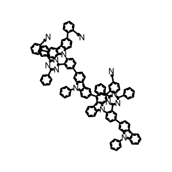 N#Cc1cccc(-c2cc(-c3ccc4c(c3)c3ccc(-c5ccc(-n6c7ccc(-c8ccccc8C#N)cc7c7cc(-c8ccccc8C#N)ccc76)c(-c6nc(-c7ccccc7)nc(-c7ccccc7)n6)c5)cc3n4-c3ccccc3)c3c4ccccc4n(-c4ccc(-c5ccc6c7ccccc7n(-c7ccccc7)c6c5)cc4-c4nc(-c5ccccc5)nc(-c5ccccc5)n4)c3c2)c1